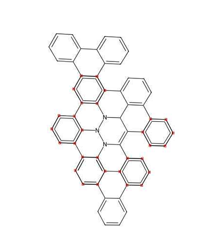 c1ccc(C2=C(c3ccccc3)N(c3cccc4c5ccccc5c5ccccc5c34)N(c3ccccc3-c3ccccc3)N(c3ccccc3-c3ccccc3)C2c2c(-c3ccccc3)cccc2-c2cccc3c4ccccc4c4ccccc4c23)cc1